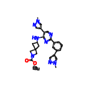 Cn1cc(-c2cccc(-c3ncc(-c4cnn(C)c4)c(NC4CC5(C4)CN(C(=O)OC(C)(C)C)C5)n3)c2)cn1